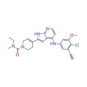 C#Cc1cc(Nc2ccnc3[nH]c(C4=CCN(C(=O)N(C)CC)CC4)cc23)cc(OC)c1Cl